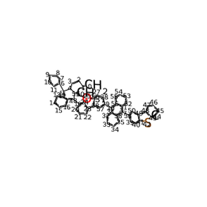 C=C/C=C\C1C(c2ccccc2)=c2ccccc2=C(c2cccc3c2oc2ccc(-c4c5ccccc5c(-c5ccc6sc7ccccc7c6c5)c5ccccc45)cc23)C1C